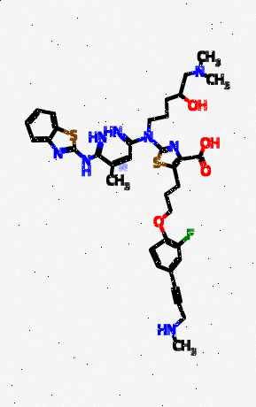 CNCC#Cc1ccc(OCCCc2sc(N(CCCC(O)CN(C)C)C(=N)/C=C(/C)C(=N)Nc3nc4ccccc4s3)nc2C(=O)O)c(F)c1